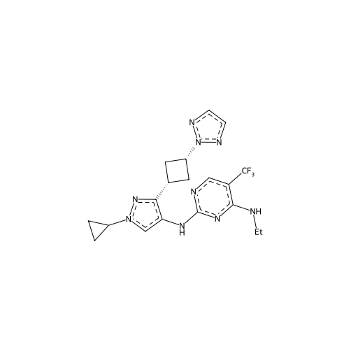 CCNc1nc(Nc2cn(C3CC3)nc2[C@H]2C[C@@H](n3nccn3)C2)ncc1C(F)(F)F